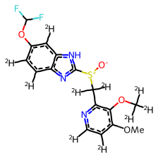 [2H]c1nc(C([2H])([2H])[S+]([O-])c2nc3c([2H])c([2H])c(OC(F)F)c([2H])c3[nH]2)c(OC([2H])([2H])[2H])c(OC)c1[2H]